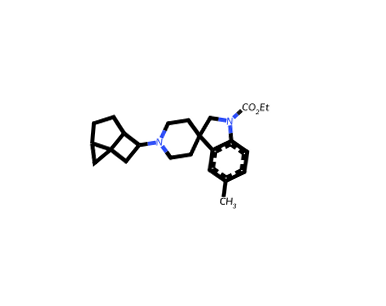 CCOC(=O)N1CC2(CCN(C3CC45CC4CCC35)CC2)c2cc(C)ccc21